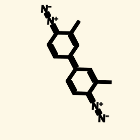 CC1=CC(=C2C=CC(=[N+]=[N-])C(C)=C2)C=CC1=[N+]=[N-]